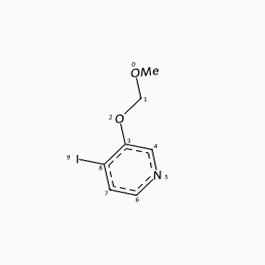 COCOc1cnccc1I